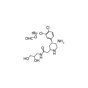 CC(C)(C)OC=O.N[C@@H]1CNC(CC(=O)NCC(O)CO)C[C@H]1c1ccc(Cl)c(Cl)c1